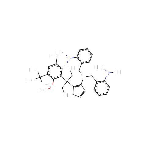 CCC(CC)(C1=[C]([Y]([CH2]c2ccccc2N(C)C)[CH2]c2ccccc2N(C)C)C=CC1)c1cc(C)cc(C(C)(C)C)c1OC